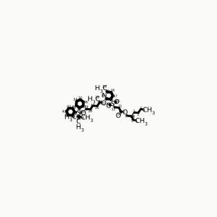 CCCC[C@@H](CC)COC(=O)CCS(=O)(=O)c1ccc(C)nc1O[C@H](C)CCCCO[Si](c1ccccc1)(c1ccccc1)C(C)(C)C